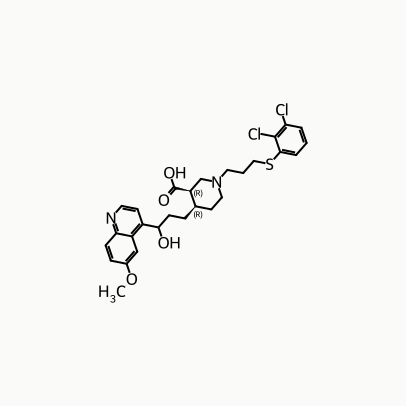 COc1ccc2nccc(C(O)CC[C@@H]3CCN(CCCSc4cccc(Cl)c4Cl)C[C@@H]3C(=O)O)c2c1